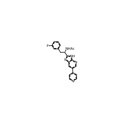 CC(=O)N[C@H](Cc1cccc(F)c1)c1nc2cc(-c3ccncc3)cnc2[nH]1